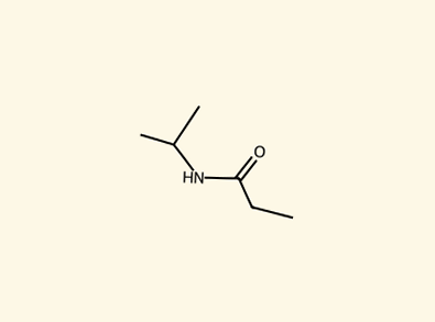 CCC(=O)NC(C)C